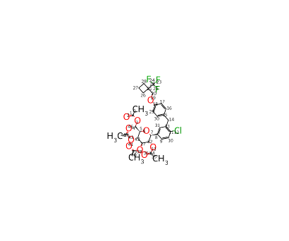 CC(=O)OC[C@H]1O[C@@H](c2ccc(Cl)c(Cc3ccc(OCC4(C(F)(F)F)CCC4)cc3)c2)[C@H](OC(C)=O)[C@@H](OC(C)=O)[C@@H]1OC(C)=O